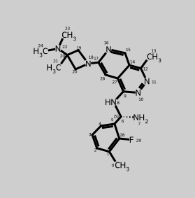 Cc1cccc([C@@H](N)Nc2nnc(C)c3cnc(N4CC(C)(N(C)C)C4)cc23)c1F